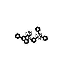 c1ccc(-c2cc3c4c(cccc4c2)N(c2cccc(-c4nc(-c5ccccc5)nc(-c5ccccc5)n4)c2)c2cncnc2-3)cc1